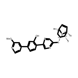 COc1cc(-c2ccc(-c3cnc(S[C@@H]4C[C@H]5C=C[C@H](N5)[C@@H]4F)cn3)c(O)c2)ccn1